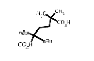 CCCCC(CCCC)(CCC(C)(C)C(=O)O)C(=O)O